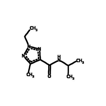 CCn1nc(C)c(C(=O)NC(C)C)n1